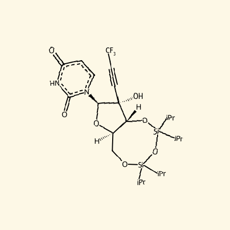 CC(C)[Si]1(C(C)C)OC[C@H]2O[C@@H](n3ccc(=O)[nH]c3=O)[C@@](O)(C#CC(F)(F)F)[C@@H]2O[Si](C(C)C)(C(C)C)O1